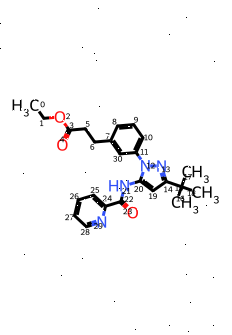 CCOC(=O)CCc1cccc(-n2nc(C(C)(C)C)cc2NC(=O)c2ccccn2)c1